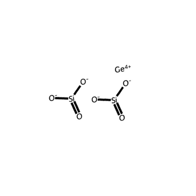 O=[Si]([O-])[O-].O=[Si]([O-])[O-].[Ge+4]